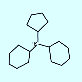 C1CCC([SiH](C2CCCCC2)C2CCCC2)CC1